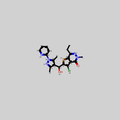 CCc1nn(C)c(=O)c2c(Br)c(C(O)c3c(C)nn(-c4ccccn4)c3C)sc12